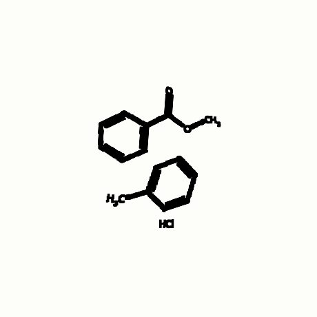 COC(=O)c1ccccc1.Cc1ccccc1.Cl